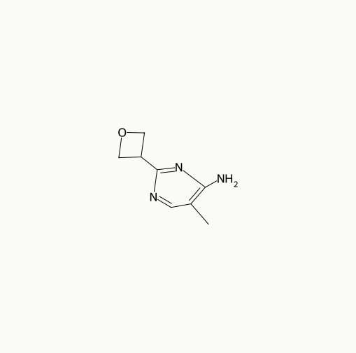 Cc1cnc(C2COC2)nc1N